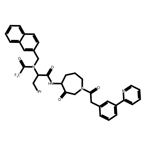 CC(C)CC(C(=O)NC1CCCN(C(=O)Cc2cccc(-c3ccccn3)c2)CC1=O)N(Cc1ccc2ccccc2c1)C(=O)C(F)(F)F